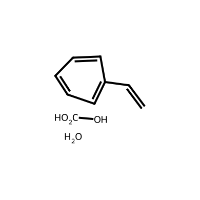 C=Cc1ccccc1.O.O=C(O)O